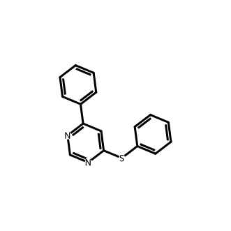 c1ccc(Sc2cc(-c3ccccc3)ncn2)cc1